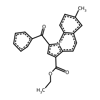 CCOC(=O)c1cc(C(=O)c2ccccc2)n2c1ccc1cc(C)ccc12